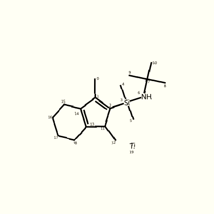 CC1=C([Si](C)(C)NC(C)(C)C)C(C)C2=C1CCCC2.[Ti]